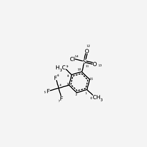 Cc1cc(C(F)(F)F)c(C)c(S(=O)(=O)Cl)c1